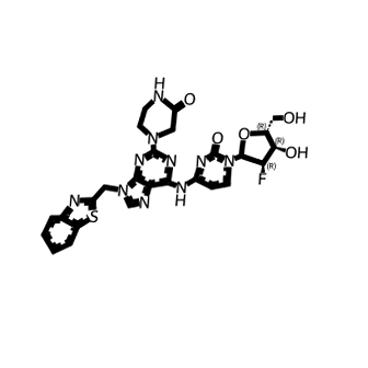 O=C1CN(c2nc(Nc3ccn(C4O[C@H](CO)[C@@H](O)[C@H]4F)c(=O)n3)c3ncn(Cc4nc5ccccc5s4)c3n2)CCN1